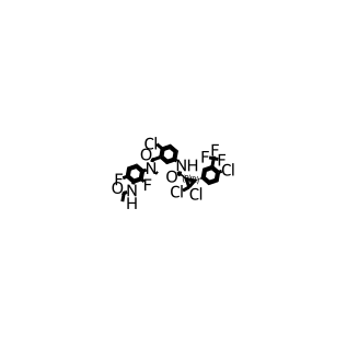 CC(=O)Nc1c(F)ccc(N(C)C(=O)c2cc(NC(=O)[C@H]3[C@H](c4ccc(Cl)c(C(F)(F)F)c4)C3(Cl)Cl)ccc2Cl)c1F